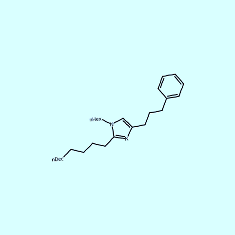 CCCCCCCCCCCCCCc1nc(CCCc2ccccc2)cn1CCCCCC